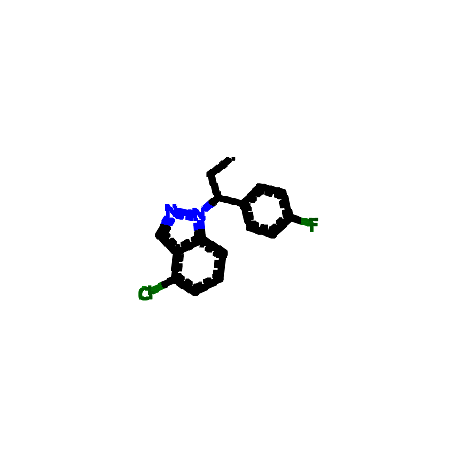 [CH2]CC(c1ccc(F)cc1)n1ncc2c(Cl)cccc21